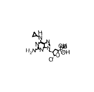 Nc1nc(NC2CC2)c2ncn(C[C@H]3C[C@@H](P(=O)(O)O)O[C@@H]3Cl)c2n1